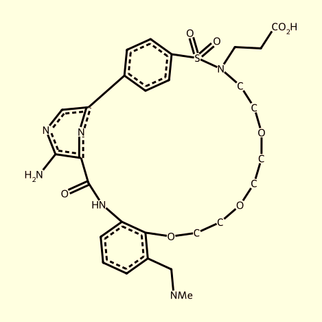 CNCc1cccc2c1OCCOCCOCCN(CCC(=O)O)S(=O)(=O)c1ccc(cc1)-c1cnc(N)c(n1)C(=O)N2